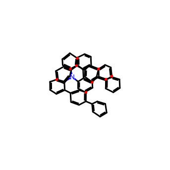 c1ccc(-c2ccc(-c3ccccc3N(c3ccccc3-c3ccc(-c4ccccc4)cc3)c3cccc(-c4ccccc4)c3-c3ccccc3-c3ccccc3)cc2)cc1